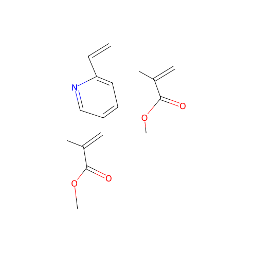 C=C(C)C(=O)OC.C=C(C)C(=O)OC.C=Cc1ccccn1